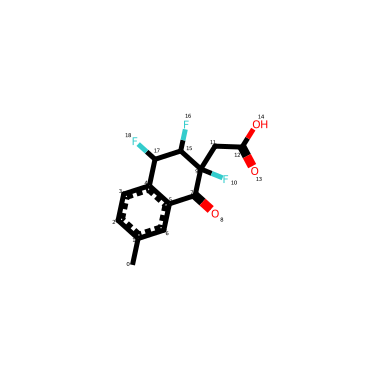 Cc1ccc2c(c1)C(=O)C(F)(CC(=O)O)C(F)C2F